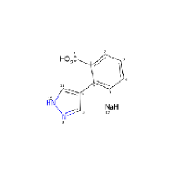 O=C(O)c1ccccc1-c1cn[nH]c1.[NaH]